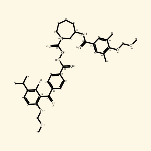 COCOc1ccc(C(C)C)c(F)c1C(=O)c1ccc(C(=O)OOC(=O)N2CCCCC(NC(=O)c3cc(C)c(OCOC)c(C)c3)C2)cc1